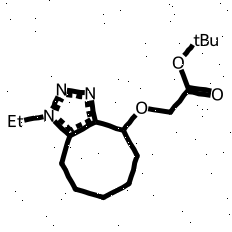 CCn1nnc2c1CCCCCC2OCC(=O)OC(C)(C)C